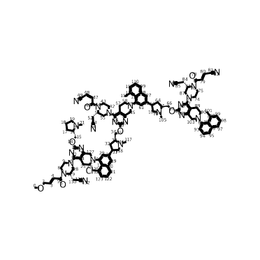 COC/C=C/C(=O)N1CCN(c2nc(OC[C@@H]3CCCN3C)nc3c2CCN(c2cc(C4C[C@@H](COc5nc6c(c(N7CCN(C(=O)/C=C\C#N)[C@@H](CC#N)C7)n5)CCN(c5cc(C7C[C@@H](COc8nc9c(c(N%10CCN(C(=O)/C=C/C#N)[C@@H](CC#N)C%10)n8)CCN(c8cccc%10cccc(C)c8%10)C9)N(C)C7)cc7cccc(C)c57)C6)N(C)C4)cc4cccc(Cl)c24)C3)C[C@@H]1CC#N